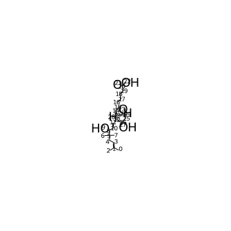 CC(C)=CCC(C)(C)[C@H](O)/C=C/[C@@H]1[C@H]2C[C@H](CCCCC(=O)O)O[C@H]2C[C@H]1O